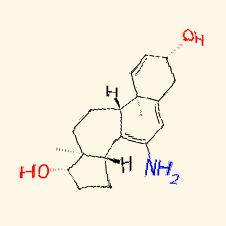 C[C@]12CC[C@H]3C(=C(N)C=C4C[C@@H](O)C=C[C@@]43C)[C@@H]1CC[C@@H]2O